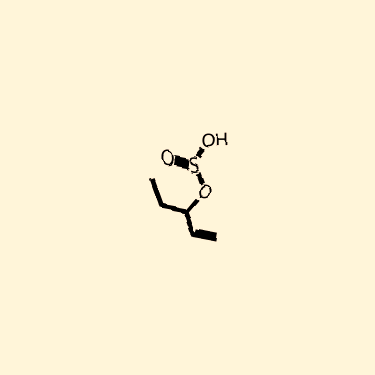 C=CC(CC)OS(=O)O